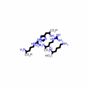 N=C(N)NCCCC(N)C(=O)O.N=C(N)NCCCC(N)C(=O)O.NC(Cc1c[nH]cn1)C(=O)O.NCCCCC(N)C(=O)O